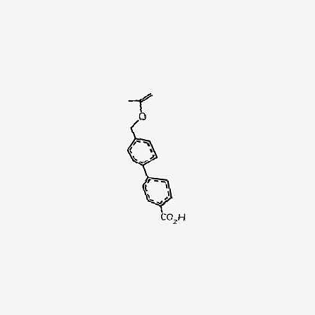 C=C(C)OCc1ccc(-c2ccc(C(=O)O)cc2)cc1